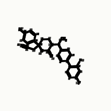 CC(c1ccc(-c2ccc(F)cc2F)cc1)N1CCC(CC#N)(c2ccc(F)cc2)OC1=O